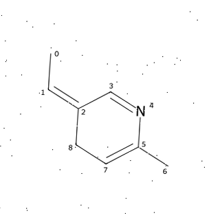 CC=C1C=NC(C)=CC1